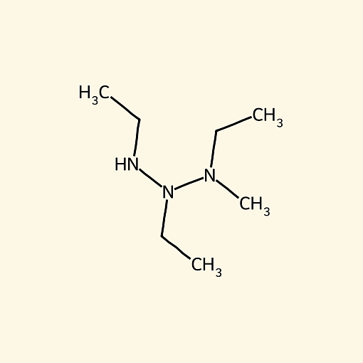 CCNN(CC)N(C)CC